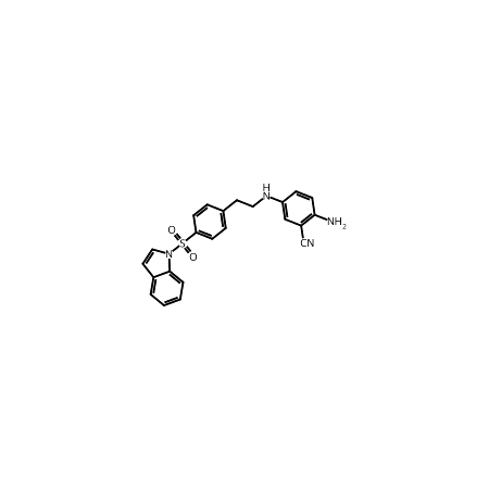 N#Cc1cc(NCCc2ccc(S(=O)(=O)n3ccc4ccccc43)cc2)ccc1N